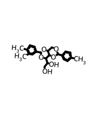 Cc1ccc(C2OCC3OC(c4ccc(C)c(C)c4)OC(C(O)CO)C3O2)cc1